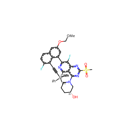 COCOc1cc(-c2nc(OC)c3c(N4CCC[C@@H](O)C4)nc(S(C)(=O)=O)nc3c2F)c2c(C#C[Si](C(C)C)(C(C)C)C(C)C)c(F)ccc2c1